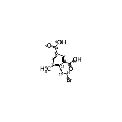 Cc1cc(C(=O)O)cc(C(=O)O)c1CCBr